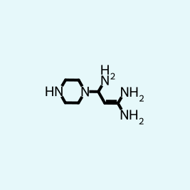 NC(N)=CC(N)N1CCNCC1